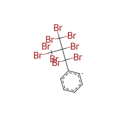 BrC(Br)(Br)C(Br)(C(Br)(Br)Br)C(Br)(Br)c1[c]cccc1